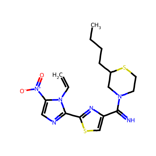 C=Cn1c([N+](=O)[O-])cnc1-c1nc(C(=N)N2CCSC(CCCC)C2)cs1